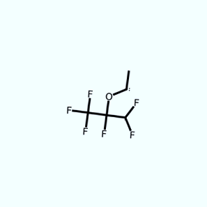 C[C]OC(F)([C](F)F)C(F)(F)F